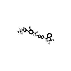 [2H]C([2H])([2H])n1cc(-c2ccc(C(=O)N[C@H]3CC4(C3)C[C@H](c3n[nH]c(=O)c5ccccc53)C4)cc2F)cn1